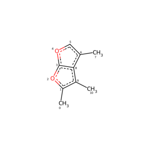 Cc1oc2occ(C)c2c1C